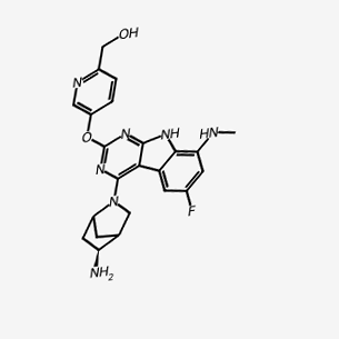 CNc1cc(F)cc2c1[nH]c1nc(Oc3ccc(CO)nc3)nc(N3CC4CC3C[C@@H]4N)c12